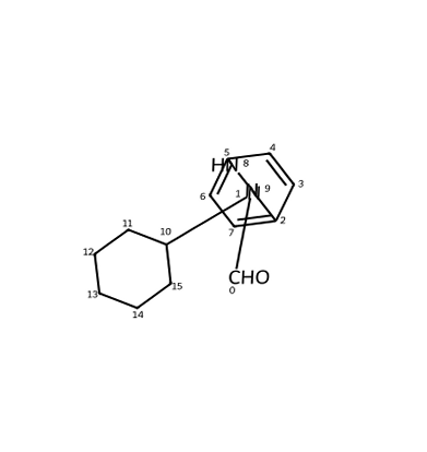 O=Cn1c2ccc(cc2)[nH]n1C1CCCCC1